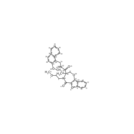 COCCN1C(=O)c2oc3ccccc3c2OCC1(C)C(=O)NCc1c(OC)ccc2cnccc12